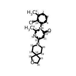 Cc1cccc(-n2c(C)nc(N3CCC4(CCOC4)CC3)cc2=O)c1Cl